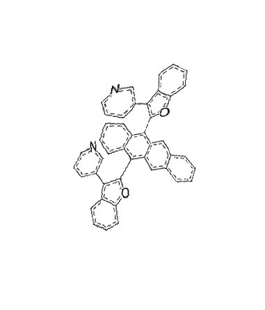 c1cncc(-c2c(-c3c4ccccc4c(-c4oc5ccccc5c4-c4cccnc4)c4cc5ccccc5cc34)oc3ccccc23)c1